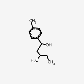 CCC(C)CC(O)c1ccc(C)cc1